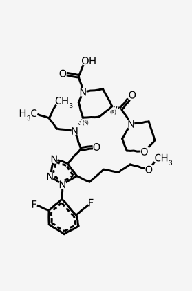 COCCCCc1c(C(=O)N(CC(C)C)[C@H]2C[C@@H](C(=O)N3CCOCC3)CN(C(=O)O)C2)nnn1-c1c(F)cccc1F